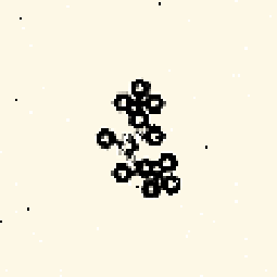 C1=CCC(C2(c3ccccc3)c3ccccc3-c3cc4c(cc32)c2ccccc2n4-c2cc(-n3c4c(c5cc6c(cc53)-c3ccccc3C6(c3ccccc3)c3ccccc3)=CCCC=4)nc(-c3ccccc3)n2)C=C1